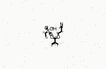 C=C(C)C(=O)OCCC#N.CCS(=O)(=O)O